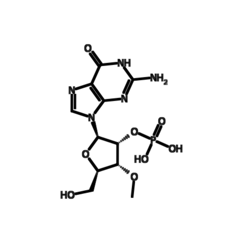 CO[C@H]1[C@@H](OP(=O)(O)O)[C@H](n2cnc3c(=O)[nH]c(N)nc32)O[C@@H]1CO